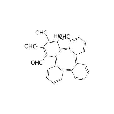 O=Cc1c(C=O)c(C=O)c2/c(c1C=O)=c1/cccc/c1=c1\cccc\c1=c1/cccc(C(=O)O)/c1=2